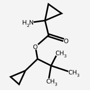 CC(C)(C)C(OC(=O)C1(N)CC1)C1CC1